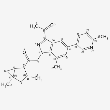 CC(=O)c1nn(CC(=O)N2C3C[C@]3(C)C[C@H]2C)c2c(C)nc(-c3cnc(C)nc3)cc12